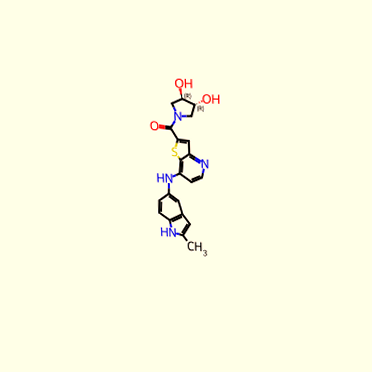 Cc1cc2cc(Nc3ccnc4cc(C(=O)N5C[C@@H](O)[C@H](O)C5)sc34)ccc2[nH]1